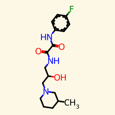 CC1CCCN(CC(O)CNC(=O)C(=O)Nc2ccc(F)cc2)C1